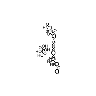 Nc1ncnc2c1c(-c1ccc(Oc3ccccc3)cc1)nn2C1CCN(C2CN(C3CN(c4ccc5c(c4)C(=O)N(C4CCC(=O)NC4=O)C5=O)C3)C2)CC1.O=C(O)[C@H](O)[C@@H](O)C(=O)O